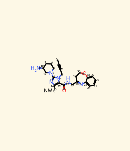 CC#CCn1c(N2CCCC(N)C2)nc(NC)c1C(=O)NCC1=Nc2ccccc2OCC1